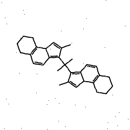 CC1=CC2C(=C1C(C)(C)C1=C3C=CC4=C(CCCC4)C3C=C1C)C=CC1=C2CCCC1